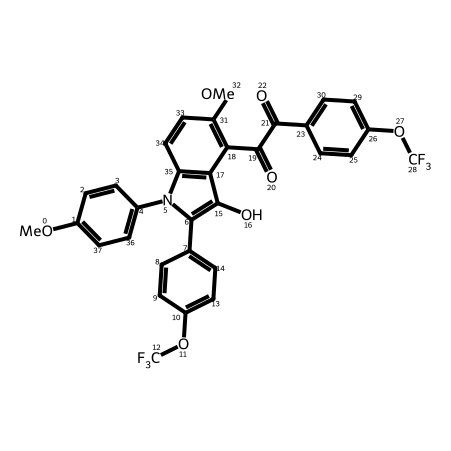 COc1ccc(-n2c(-c3ccc(OC(F)(F)F)cc3)c(O)c3c(C(=O)C(=O)c4ccc(OC(F)(F)F)cc4)c(OC)ccc32)cc1